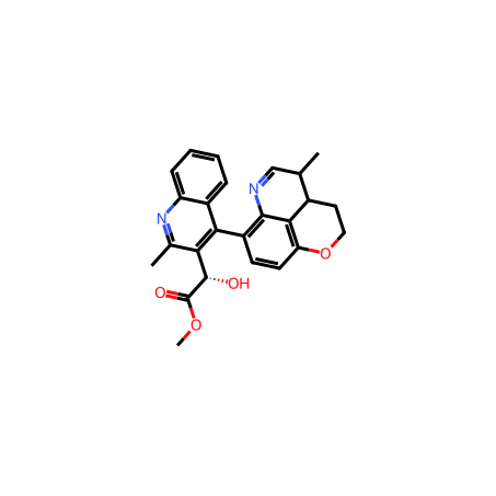 COC(=O)[C@@H](O)c1c(C)nc2ccccc2c1-c1ccc2c3c1N=CC(C)C3CCO2